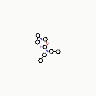 Ic1cc(Oc2cccc(-n3c4ccccc4c4ccccc43)c2)cc(N(c2ccc(-c3ccccc3)cc2)c2ccc(-c3ccccc3)cc2)c1